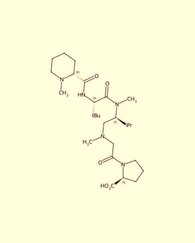 CC(C)[C@@H](CN(C)CC(=O)N1CCC[C@H]1C(=O)O)N(C)C(=O)[C@@H](NC(=O)[C@H]1CCCCN1C)C(C)(C)C